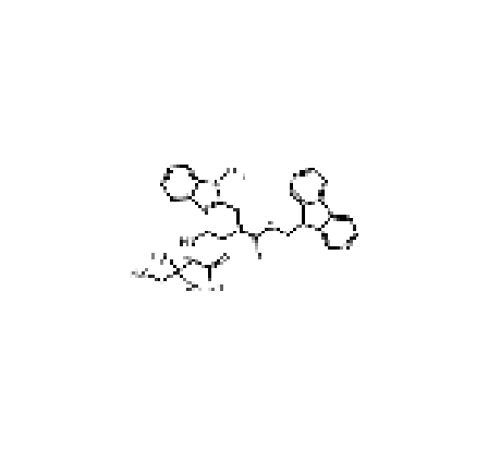 CCC(C)(C)[C@H](NCCN(Cc1nc2ccccc2n1C)C(=O)OCC1c2ccccc2-c2ccccc21)C(=O)O